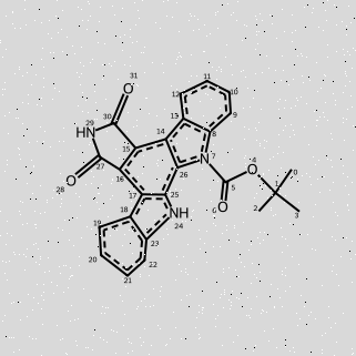 CC(C)(C)OC(=O)n1c2ccccc2c2c3c(c4c5ccccc5[nH]c4c21)C(=O)NC3=O